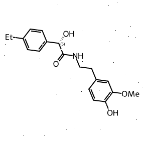 CCc1ccc([C@H](O)C(=O)NCCc2ccc(O)c(OC)c2)cc1